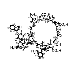 CCCCCCCCCC(=O)NC(Cc1c[nH]c2ccccc12)C(=O)N[C@H](CC(N)=O)C(=O)N[C@@H](CC(=O)O)C(=O)N[C@@H]1C(=O)NCC(=O)N[C@@H](CCCN)C(=O)N[C@@H](CC(=O)O)C(=O)N[C@H](C)C(=O)N[C@@H](CC(=O)O)C(=O)NCC(=O)N[C@H](CO)C(=O)N[C@@H]([C@H](C)CC(=O)O)C(=O)N[C@@H](CC(=O)c2ccccc2N)C(=O)O[C@@H]1C